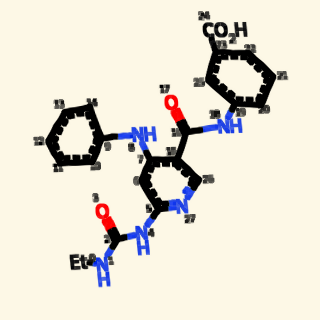 CCNC(=O)Nc1cc(Nc2ccccc2)c(C(=O)Nc2cccc(C(=O)O)c2)cn1